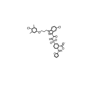 Cc1cc(OCCCn2nc(C(=O)NS(=O)(=O)c3ccc(Nc4ccco4)c([N+](=O)[O-])c3)c3cc(Cl)ccc32)cc(C)c1Cl